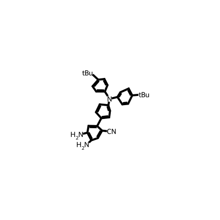 CC(C)(C)c1ccc(N(c2ccc(-c3cc(N)c(N)cc3C#N)cc2)c2ccc(C(C)(C)C)cc2)cc1